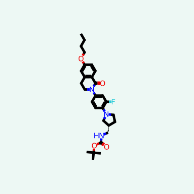 CCCCOc1ccc2c(c1)CCN(c1ccc(N3CC[C@H](CNC(=O)OC(C)(C)C)C3)c(F)c1)C2=O